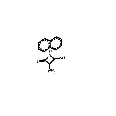 NC1C(=O)NC1S.c1ccc2ccccc2c1